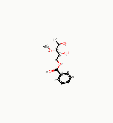 CCCCO[C@H](C(O)CC)[C@H](O)COC(=O)c1ccccc1